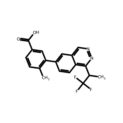 Cc1ccc(C(=O)O)cc1-c1ccc2c(C(C)C(F)(F)F)nncc2c1